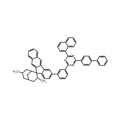 CC1CC2CC(C)C3(c4ccc(-c5cccc(-c6nc(-c7ccc(-c8ccccc8)cc7)nc(-c7cccc8ccccc78)n6)c5)cc4-c4cc5ccccc5cc43)C(C1)C2